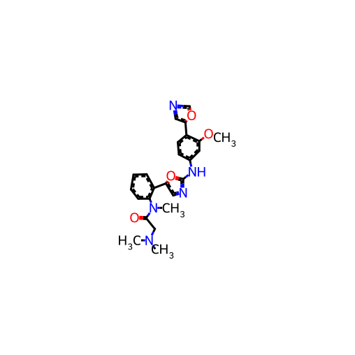 COc1cc(Nc2ncc(-c3ccccc3N(C)C(=O)CN(C)C)o2)ccc1-c1cnco1